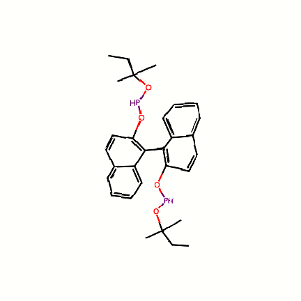 CCC(C)(C)OPOc1ccc2ccccc2c1-c1c(OPOC(C)(C)CC)ccc2ccccc12